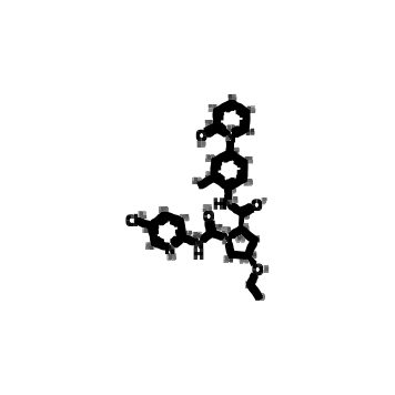 CCO[C@@H]1C[C@H](C(=O)Nc2ccc(-n3ccccc3=O)cc2C)N(C(=O)Nc2ccc(Cl)cn2)C1